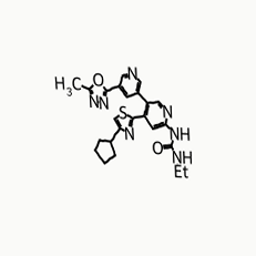 CCNC(=O)Nc1cc(-c2nc(C3CCCC3)cs2)c(-c2cncc(-c3nnc(C)o3)c2)cn1